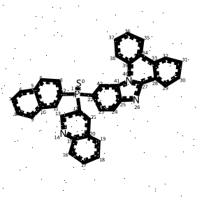 S=P(c1ccc2ccccc2c1)(c1cnc2ccccc2c1)c1ccc2nc3c4ccccc4c4ccccc4n3c2c1